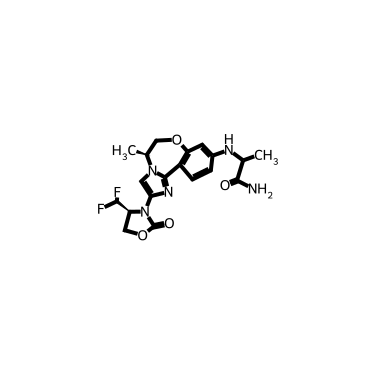 CC(Nc1ccc2c(c1)OC[C@H](C)n1cc(N3C(=O)OC[C@H]3C(F)F)nc1-2)C(N)=O